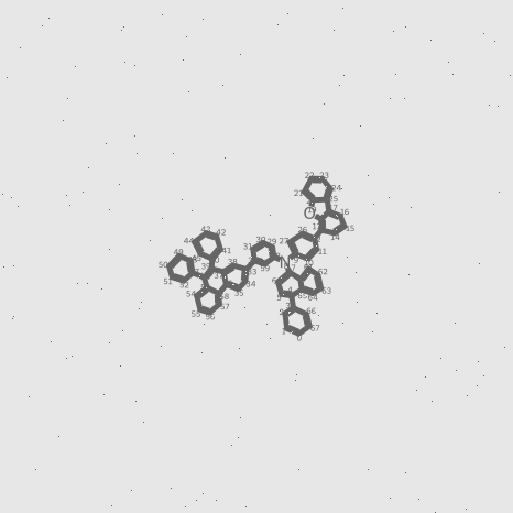 c1ccc(-c2ccc(N(c3ccc(-c4cccc5c4oc4ccccc45)cc3)c3cccc(-c4ccc5c(c4)c(-c4ccccc4)c(-c4ccccc4)c4ccccc45)c3)c3ccccc23)cc1